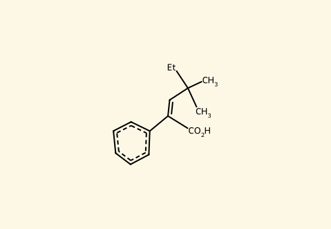 CCC(C)(C)C=C(C(=O)O)c1ccccc1